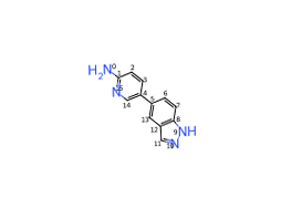 Nc1ccc(-c2ccc3[nH]ncc3c2)cn1